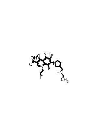 CCNCC1CCN(c2c(F)c(N)c3c(=O)c(C(=O)O)cn(CCF)c3c2F)C1